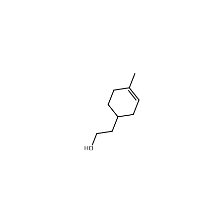 CC1=CCC(CCO)CC1